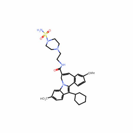 COc1ccc2c(c1)C=C(C(=O)NCCN1CCN(S(N)(=O)=O)CC1)Cn1c-2c(C2CCCCC2)c2ccc(C(=O)O)cc21